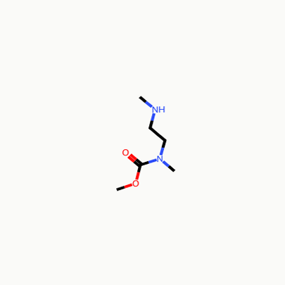 CNCCN(C)C(=O)OC